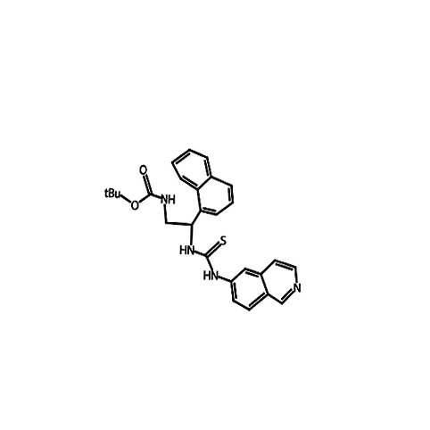 CC(C)(C)OC(=O)NCC(NC(=S)Nc1ccc2cnccc2c1)c1cccc2ccccc12